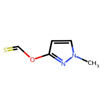 Cn1ccc(OC=S)n1